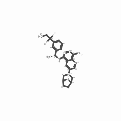 Cc1nnc(N[C@H](C)c2cccc(C(F)(F)CO)c2)c2cc(N3CC4CCC(C3)O4)cnc12